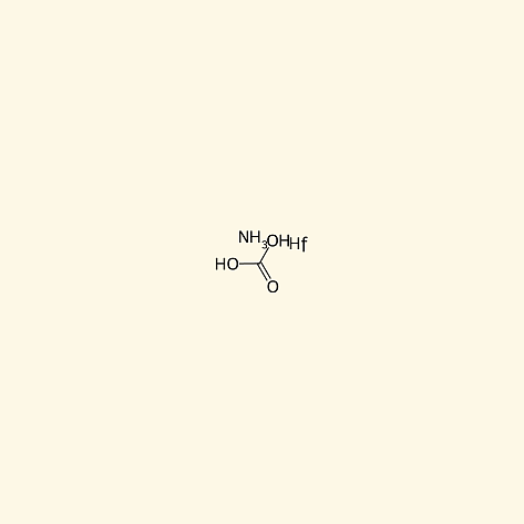 N.O=C(O)O.[Hf]